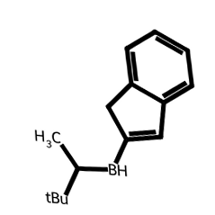 CC(BC1=Cc2ccccc2C1)C(C)(C)C